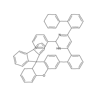 C1=CCC2C(=C1)Oc1cc(-c3ccccc3C3=CC(c4ccccc4C4=CCCC=C4)=NC(c4ccccc4)N3)ccc1C21c2ccccc2-c2ccccc21